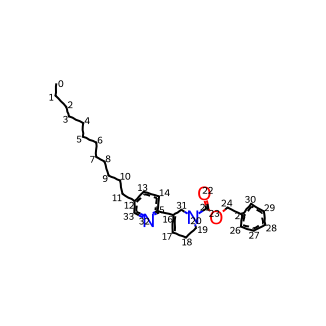 CCCCCCCCCCCCc1ccc(C2=CCCN(C(=O)OCc3ccccc3)C2)nc1